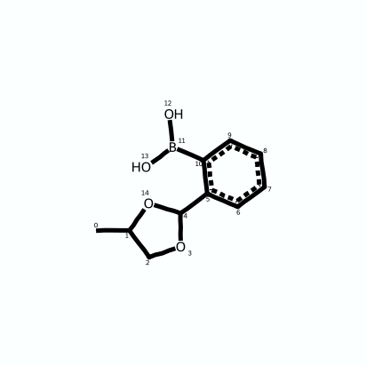 CC1COC(c2ccccc2B(O)O)O1